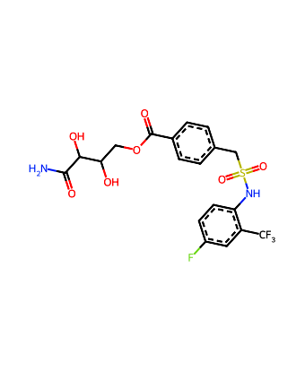 NC(=O)C(O)C(O)COC(=O)c1ccc(CS(=O)(=O)Nc2ccc(F)cc2C(F)(F)F)cc1